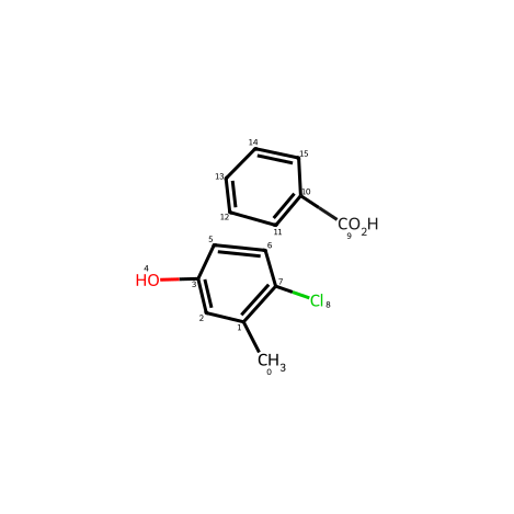 Cc1cc(O)ccc1Cl.O=C(O)c1ccccc1